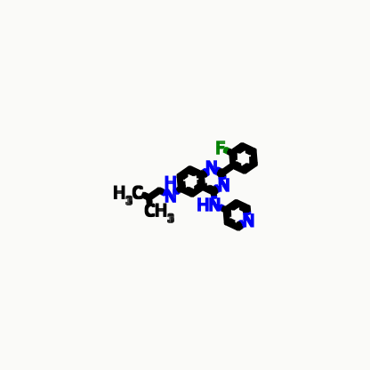 CC(C)CNc1ccc2nc(-c3ccccc3F)nc(Nc3ccncc3)c2c1